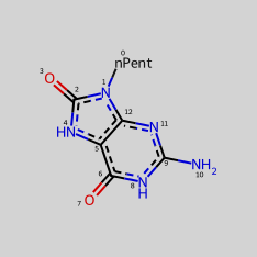 CCCCCn1c(=O)[nH]c2c(=O)[nH]c(N)nc21